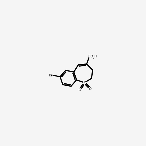 O=C(O)C1=Cc2cc(Br)ccc2S(=O)(=O)CC1